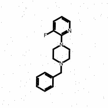 Fc1cccnc1N1CCN(Cc2ccccc2)CC1